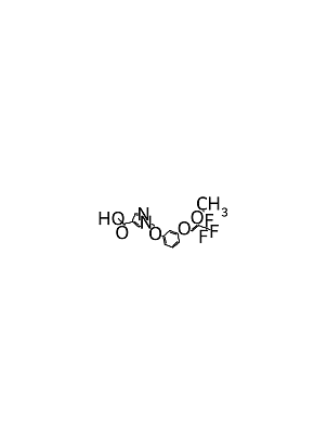 CCO/C(=C\Oc1cccc(OCn2cc(C(=O)O)cn2)c1)C(F)(F)F